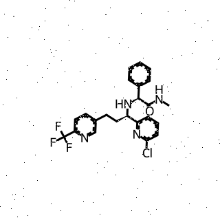 CNC(=O)[C@@H](N[C@H](CCc1ccc(C(F)(F)F)nc1)c1cccc(Cl)n1)c1ccccc1